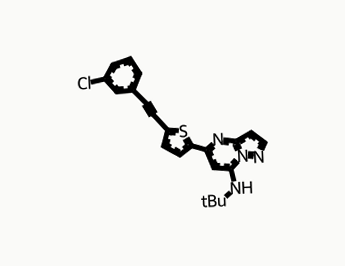 CC(C)(C)Nc1cc(-c2ccc(C#Cc3cccc(Cl)c3)s2)nc2ccnn12